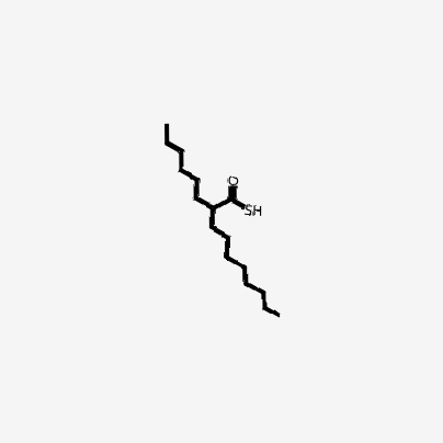 CCCCCCCCC(CCCCCC)C(=O)S